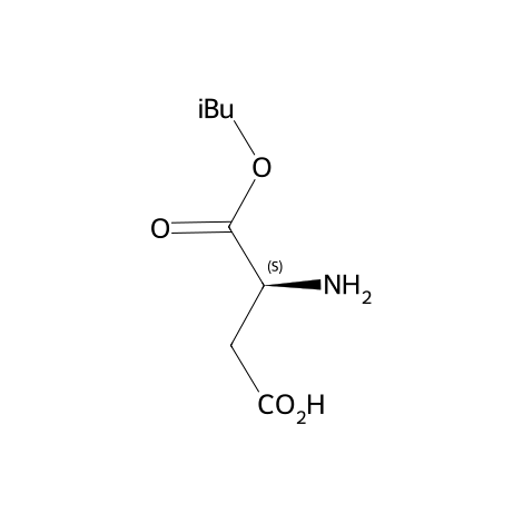 CCC(C)OC(=O)[C@@H](N)CC(=O)O